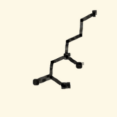 O=C(S)C[S+]([O-])CCCF